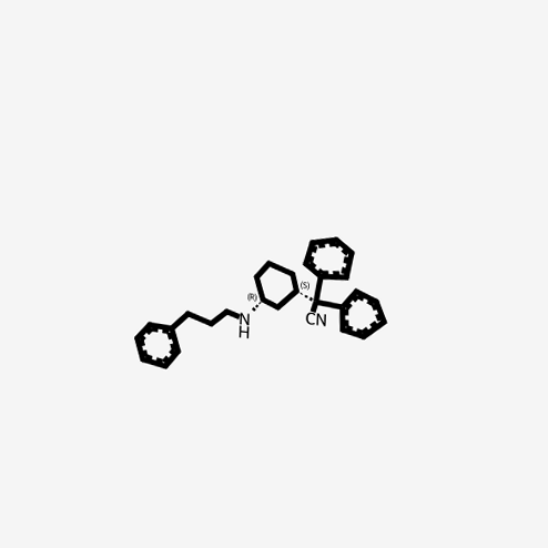 N#CC(c1ccccc1)(c1ccccc1)[C@H]1CCC[C@@H](NCCCc2ccccc2)C1